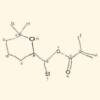 C=C(C)C(=O)OC(CC)C1CCC[Si](C)(C)O1